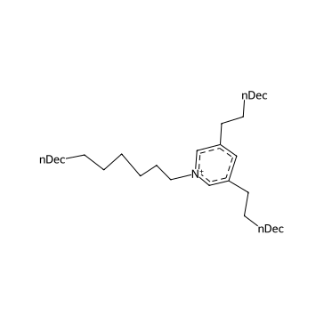 CCCCCCCCCCCCCCCC[n+]1cc(CCCCCCCCCCCC)cc(CCCCCCCCCCCC)c1